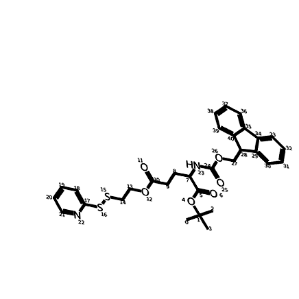 CC(C)(C)OC(=O)C(CCC(=O)OCCSSc1ccccn1)NC(=O)OCC1c2ccccc2-c2ccccc21